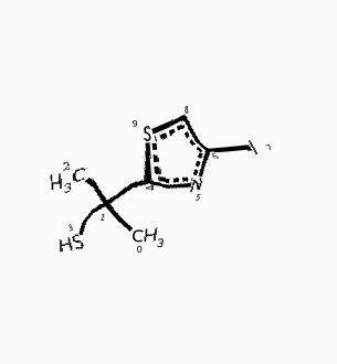 CC(C)(S)c1nc(I)cs1